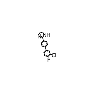 Fc1ccc(-c2ccc(C3=NCCN3)cc2)cc1Cl